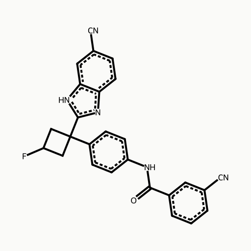 N#Cc1cccc(C(=O)Nc2ccc(C3(c4nc5ccc(C#N)cc5[nH]4)CC(F)C3)cc2)c1